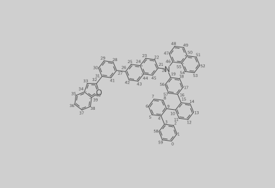 c1ccc(-c2ccccc2-c2ccccc2-c2ccc(N(c3ccc4cc(-c5cccc(-c6cc7ccccc7o6)c5)ccc4c3)c3cccc4ccccc34)cc2)cc1